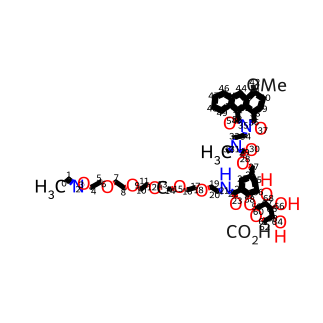 C/C=N/OCCOCCOCCOCCOCCOCCNC(=O)c1cc(COC(=O)N(C)CCN2C(=O)c3ccc(OC)c4cc5ccccc5c(c34)C2=O)ccc1O[C@@H]1O[C@H](C(=O)O)[C@@H](O)[C@H](O)[C@H]1O